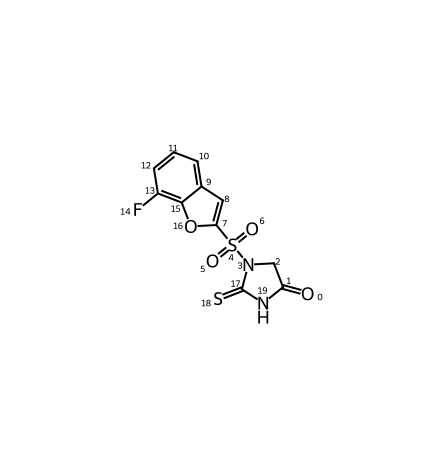 O=C1CN(S(=O)(=O)c2cc3cccc(F)c3o2)C(=S)N1